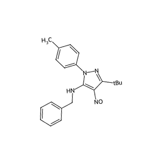 Cc1ccc(-n2nc(C(C)(C)C)c(N=O)c2NCc2ccccc2)cc1